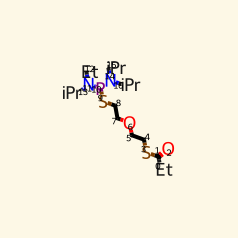 CCC(=O)SCCOCCSP(N(CC)C(C)C)N(C(C)C)C(C)C